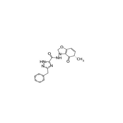 C[C@H]1C=CC2=C(C1=O)N(NC(=O)c1nc(Cc3ccccc3)n[nH]1)CO2